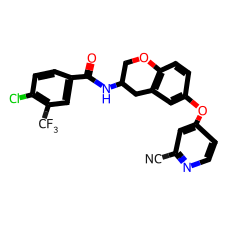 N#Cc1cc(Oc2ccc3c(c2)CC(NC(=O)c2ccc(Cl)c(C(F)(F)F)c2)CO3)ccn1